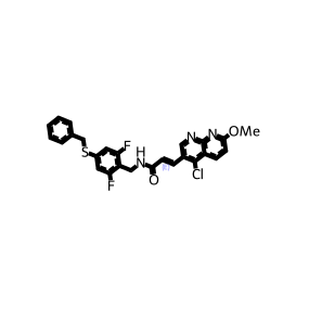 COc1ccc2c(Cl)c(/C=C/C(=O)NCc3c(F)cc(SCc4ccccc4)cc3F)cnc2n1